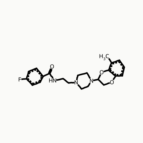 Cc1cccc2c1OC(N1CCN(CCNC(=O)c3ccc(F)cc3)CC1)CO2